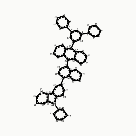 c1ccc(-c2cc(-c3ccccc3)cc(-c3c4ccccc4c(-c4ccc(-c5ccc6c(c5)c5ncccc5n6-c5ccccc5)c5ccccc45)c4ccccc34)c2)cc1